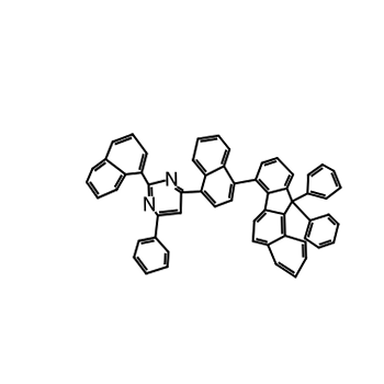 c1ccc(-c2cc(-c3ccc(-c4cccc5c4-c4ccc6ccccc6c4C5(c4ccccc4)c4ccccc4)c4ccccc34)nc(-c3cccc4ccccc34)n2)cc1